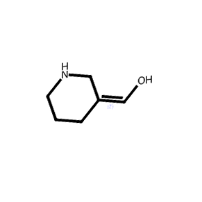 O/C=C1/CCCNC1